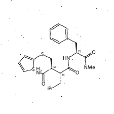 CNC(=O)[C@H](Cc1ccccc1)NC(=O)[C@H](CC(C)C)[C@H](CSc1cccs1)C(N)=O